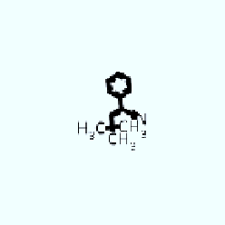 CC(C)(C)C=C(C#N)c1ccccc1